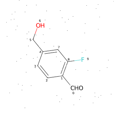 O=Cc1ccc(CO)cc1F